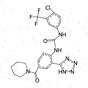 O=C(Nc1ccc(Cl)c(C(F)(F)F)c1)Nc1ccc(C(=O)N2CCCCC2)cc1-c1nnn[nH]1